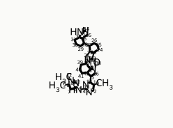 Cc1cnc(Nc2cc(C)n(C)n2)nc1-c1c[nH]c2c(N3Cc4c(cccc4-c4cccc5[nH]ncc45)C3=O)cccc12